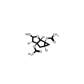 CC(=O)O[C@]12C[C@H]1C[C@@]1(OC(C)=O)[C@@H]2OC(O)[C@H]1F